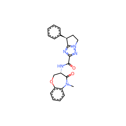 CN1C(=O)[C@@H](NC(=O)c2nc3n(n2)CC[C@@H]3c2ccccc2)COc2ccccc21